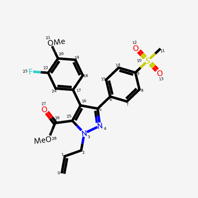 C=CCn1nc(-c2ccc(S(C)(=O)=O)cc2)c(-c2ccc(OC)c(F)c2)c1C(=O)OC